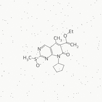 C=C(OCC)c1c(C)c2cnc([S+](C)[O-])nc2n(C2CCCC2)c1=O